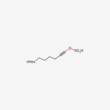 CCCCCCCCCCC#COS(=O)(=O)O